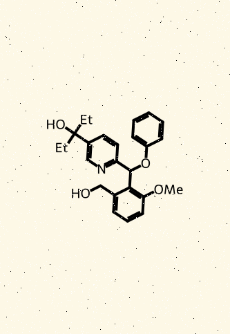 CCC(O)(CC)c1ccc(C(Oc2ccccc2)c2c(CO)cccc2OC)nc1